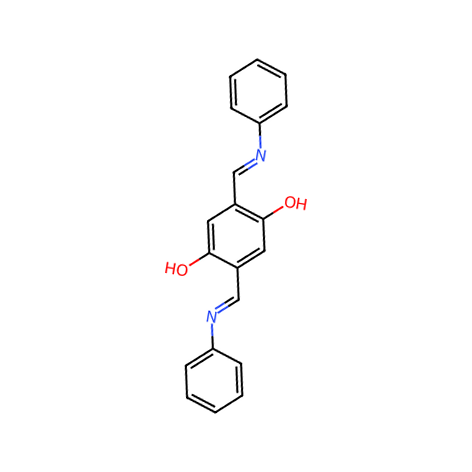 Oc1cc(/C=N/c2ccccc2)c(O)cc1/C=N/c1ccccc1